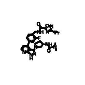 CC(C)c1noc(C(=O)NCc2ccc(-c3ccnc4[nH]nc(N5CC[C@@H](NC(=O)N(C)C)C5)c34)cc2F)n1